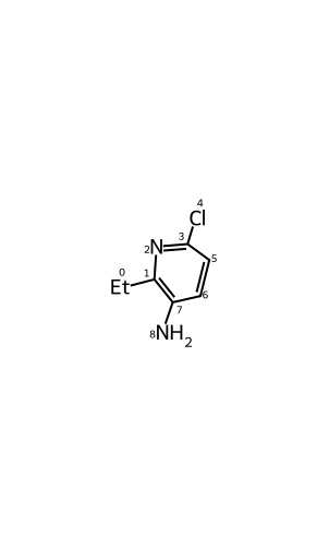 CCc1nc(Cl)ccc1N